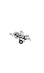 CC(C)C(C[C@@H]1OC(C)(C)N(C(=O)OC(C)(C)C)[C@H]1CC1CCCCC1)C(=O)O